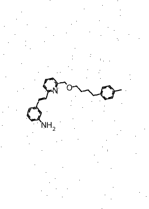 Cc1ccc(CCCCOCc2cccc(C=Cc3cccc(N)c3)n2)cc1